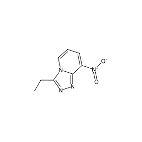 CCc1nnc2c([N+](=O)[O-])cccn12